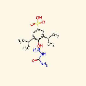 CC(C)c1cc(S(=O)(=O)O)cc(C(C)C)c1O.NNC(N)=O